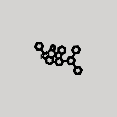 c1ccc(-c2cc(-c3ccccc3)cc(-c3cccc4c3-c3ccccc3C43c4ccccc4-n4c(-c5ccccc5)nc5cccc3c54)c2)cc1